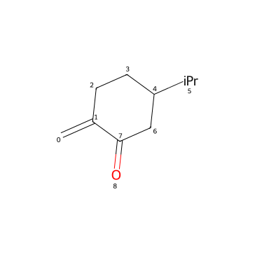 C=C1CCC(C(C)C)CC1=O